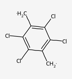 [CH2]c1c(Cl)c(Cl)c([CH2])c(Cl)c1Cl